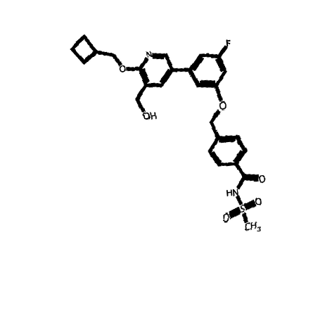 CS(=O)(=O)NC(=O)c1ccc(COc2cc(F)cc(-c3cnc(OCC4CCC4)c(CO)c3)c2)cc1